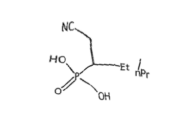 CCC(CC#N)P(=O)(O)O.CCCC